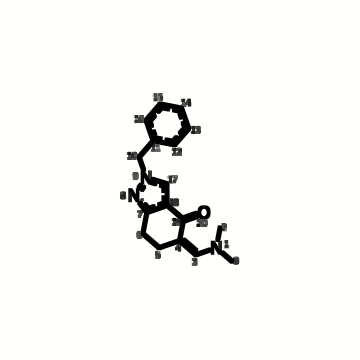 CN(C)/C=C1/CCc2nn(Cc3ccccc3)cc2C1=O